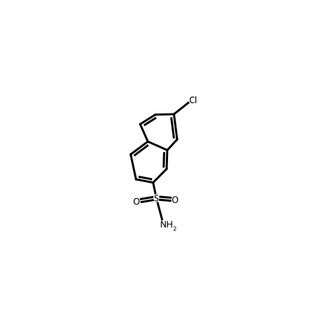 NS(=O)(=O)c1ccc2ccc(Cl)cc2c1